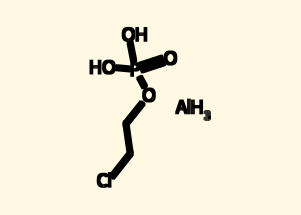 O=P(O)(O)OCCCl.[AlH3]